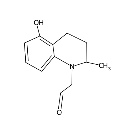 CC1CCc2c(O)cccc2N1CC=O